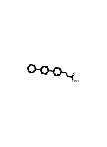 COC(=O)CCc1ccc(-c2ccc(-c3ccccc3)cc2)cc1